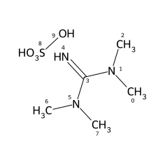 CN(C)C(=N)N(C)C.O=S(=O)(O)O